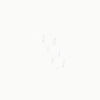 OC1C=C2Sc3ccccc3NC2=CC1